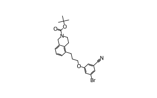 CC(C)(C)OC(=O)N1CCc2c(CCCOc3cc(Br)cc(C#N)c3)cccc2C1